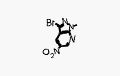 Cn1nc(Br)c2cc([N+](=O)[O-])cnc21